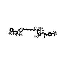 Cc1ncsc1-c1ccc(CCNC(=O)[C@@H]2C[C@H](O)CN2C(=O)[C@@H](NC(=O)CCCCCCCCN2CCN(c3cc(-c4ccccc4O)nnc3N)CC2)C(C)(C)C)cc1